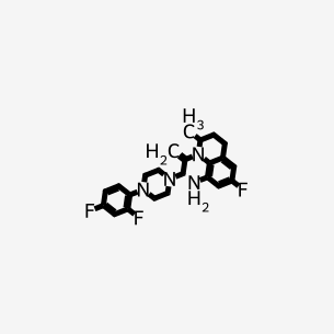 C=C(CN1CCN(c2ccc(F)cc2F)CC1)N1c2c(N)cc(F)cc2CCC1C